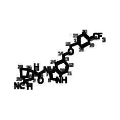 N#C[C@H]1C[C@@H](C(=O)Nc2c[nH]c3ccc(COCc4ccc(C(F)(F)F)cc4)cc23)C2CC1C2